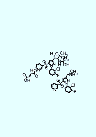 CC(C)(C)C(Cc1cc(S(=O)(=O)c2cccnc2)n(-c2cccc(F)c2Cl)n1)NC(=O)O.CNCc1cc(S(=O)(=O)c2cccnc2)n(-c2cccc(F)c2Cl)n1.O=C(O)C=CC(=O)O